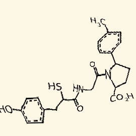 Cc1ccc(C2CCC(C(=O)O)N2C(=O)CNC(=O)C(S)Cc2ccc(O)cc2)cc1